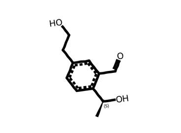 C[C@H](O)c1ccc(CCO)cc1C=O